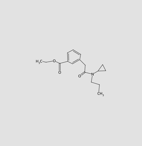 CCCN(C(=O)Cc1cccc(C(=O)OCC)c1)C1CC1